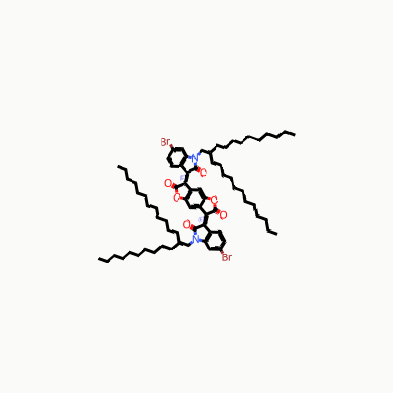 CCCCCCCCCCCCC(CCCCCCCCCC)CN1C(=O)/C(=C2/C(=O)Oc3cc4c(cc32)OC(=O)/C4=C2/C(=O)N(CC(CCCCCCCCCC)CCCCCCCCCCCC)c3cc(Br)ccc32)c2ccc(Br)cc21